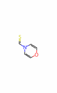 S=CN1C=COC=C1